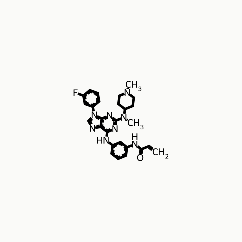 C=CC(=O)Nc1cccc(Nc2nc(N(C)C3CCN(C)CC3)nc3c2ncn3-c2cccc(F)c2)c1